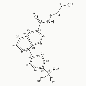 O=C(NCCCCl)c1ccc2c(-c3ccc(C(F)(F)F)cc3)cccc2c1